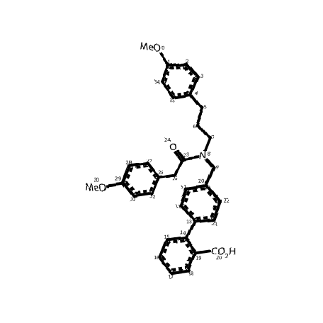 COc1ccc(CCCN(Cc2ccc(-c3ccccc3C(=O)O)cc2)C(=O)Cc2ccc(OC)cc2)cc1